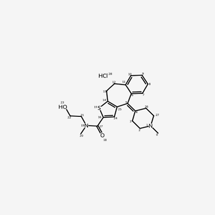 CN1CCC(=C2c3ccccc3CCc3sc(C(=O)N(C)CCO)cc32)CC1.Cl